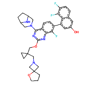 Oc1cc(-c2ccc3c(N4CC5CCC(C4)N5)nc(OCC4(CN5CC6(CCCO6)C5)CC4)nc3c2F)c2c(F)c(F)ccc2c1